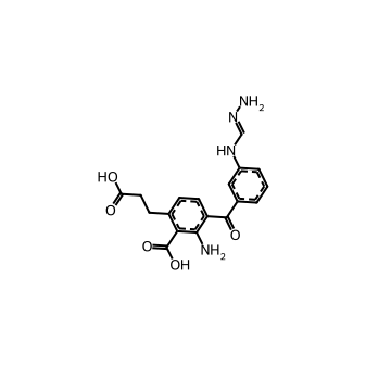 NN=CNc1cccc(C(=O)c2ccc(CCC(=O)O)c(C(=O)O)c2N)c1